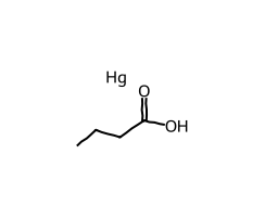 CCCC(=O)O.[Hg]